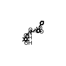 Cc1c(C)c2c(c(C)c1O)CCC(C)(CNC(=O)CCn1ccc(=O)c(OCc3ccccc3)c1C)O2